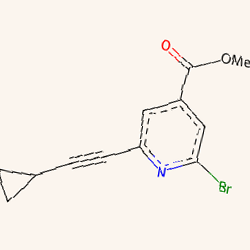 COC(=O)c1cc(Br)nc(C#CC2CC2)c1